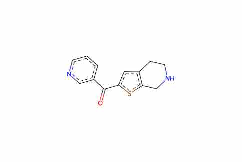 O=C(c1cccnc1)c1cc2c(s1)CNCC2